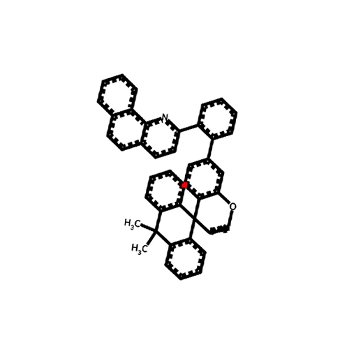 CC1(C)c2ccccc2C2(c3ccccc3Oc3cc(-c4ccccc4-c4ccc5ccc6ccccc6c5n4)ccc32)c2ccccc21